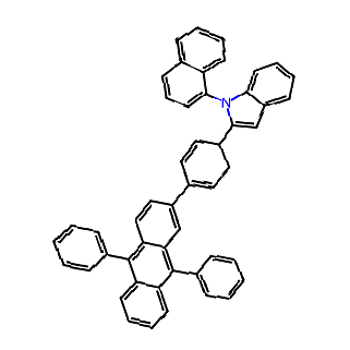 C1=CC(c2cc3ccccc3n2-c2cccc3ccccc23)CC=C1c1ccc2c(-c3ccccc3)c3ccccc3c(-c3ccccc3)c2c1